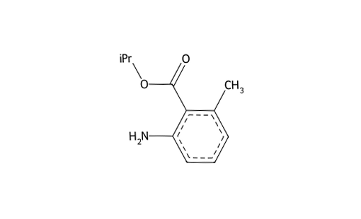 Cc1cccc(N)c1C(=O)OC(C)C